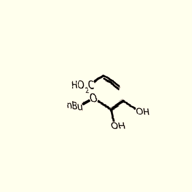 C=CC(=O)O.CCCCOC(O)CO